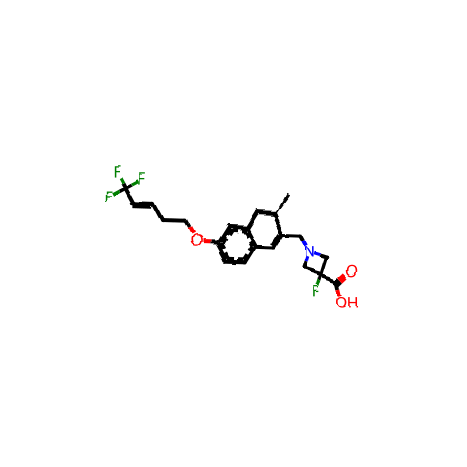 C[C@@H]1Cc2cc(OCC/C=C/C(F)(F)F)ccc2C=C1CN1CC(F)(C(=O)O)C1